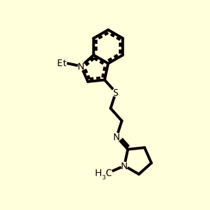 CCn1cc(SCCN=C2CCCN2C)c2ccccc21